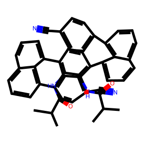 CC(C)C(=O)Nc1c(-c2cccc3cccc(-c4ccc(C#N)cc4)c23)ccc(-c2cccc3cccc(-c4ccc(C#N)cc4)c23)c1NC(=O)C(C)C